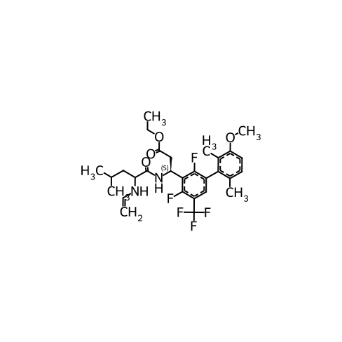 C=CNC(CC(C)C)C(=O)N[C@@H](CC(=O)OCC)c1c(F)c(-c2c(C)ccc(OC)c2C)cc(C(F)(F)F)c1F